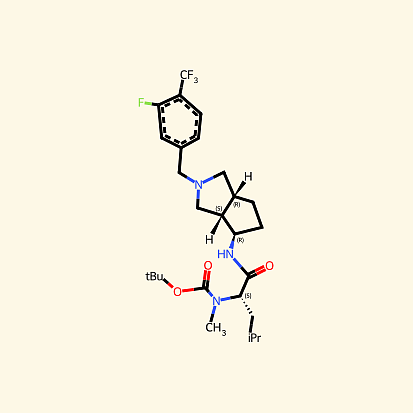 CC(C)C[C@@H](C(=O)N[C@@H]1CC[C@H]2CN(Cc3ccc(C(F)(F)F)c(F)c3)C[C@H]21)N(C)C(=O)OC(C)(C)C